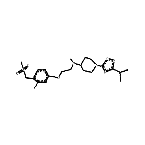 CC(C)c1noc(N2CCC(N(C)CCOc3ccc(CS(C)(=O)=O)c(F)c3)CC2)n1